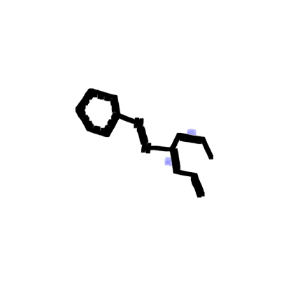 C=C/C=C(\C=C/C)N=Nc1ccccc1